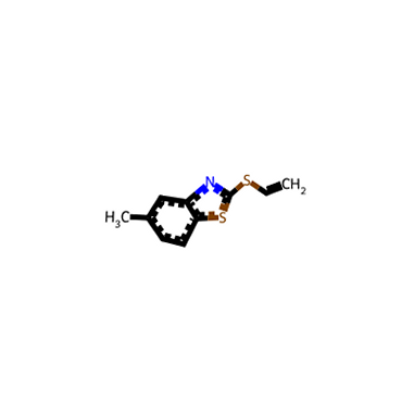 C=CSc1nc2cc(C)ccc2s1